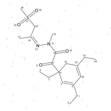 CCC1=CC(CC)(C(=O)C(=O)N(C)N=C(C)CS(C)(=O)=O)CC(CC)=C1